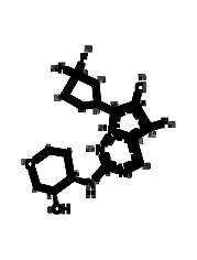 O[C@@H]1COCC[C@H]1Nc1ncc2c(F)c(Cl)c(C3CCC(F)(F)C3)n2n1